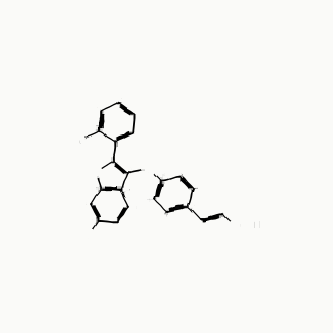 O=C(O)C=Cc1ccc(Oc2c(-c3ccccc3I)sc3cc(O)ccc23)cc1